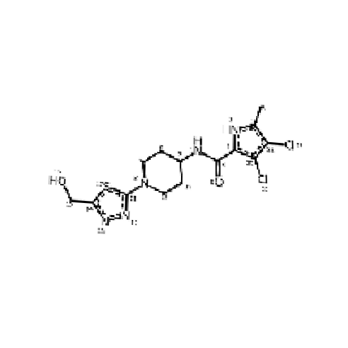 Cc1[nH]c(C(=O)NC2CCN(c3nnc(CO)s3)CC2)c(Cl)c1Cl